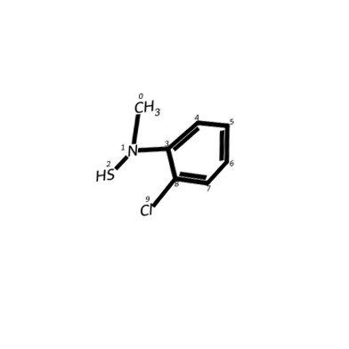 CN(S)c1ccccc1Cl